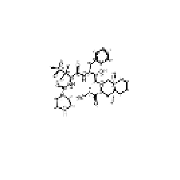 CC(C)(C)NC(=O)[C@@H]1C[C@@H]2CCCC[C@@H]2CN1C[C@@H](O)[C@H](Cc1ccccc1)NC(=O)[C@@H](NC(=O)N1CCNCC1)C(C)(C)S(C)(=O)=O